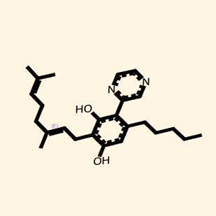 CCCCCc1cc(O)c(C/C=C(\C)CCC=C(C)C)c(O)c1-c1cnccn1